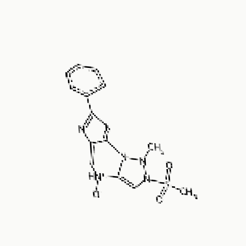 CN1N2C(=CN1S(C)(=O)=O)[NH+]([O-])C=C1N=C(c3ccccc3)N=C12